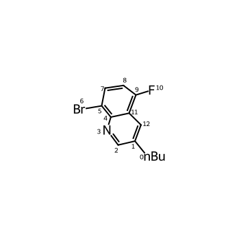 CCCCc1cnc2c(Br)ccc(F)c2c1